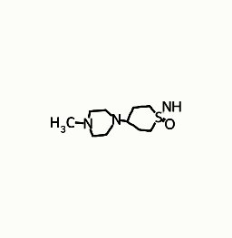 CN1CCN(C2CCS(=N)(=O)CC2)CC1